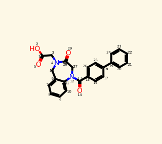 O=C(O)CN1Cc2ccccc2N(C(=O)c2ccc(-c3ccccc3)cc2)CC1=O